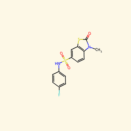 Cn1c(=O)sc2cc(S(=O)(=O)Nc3ccc(F)cc3)ccc21